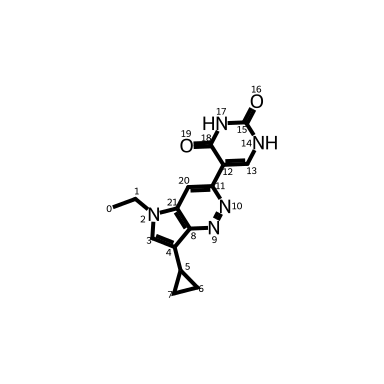 CCn1cc(C2CC2)c2nnc(-c3c[nH]c(=O)[nH]c3=O)cc21